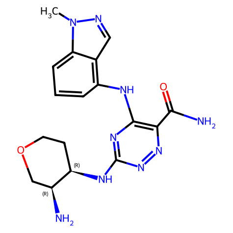 Cn1ncc2c(Nc3nc(N[C@@H]4CCOC[C@@H]4N)nnc3C(N)=O)cccc21